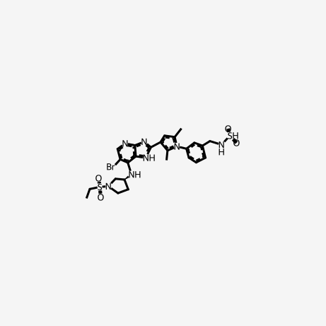 CCS(=O)(=O)N1CC[C@H](Nc2c(Br)cnc3nc(-c4cc(C)n(-c5cccc(CN[SH](=O)=O)c5)c4C)[nH]c23)C1